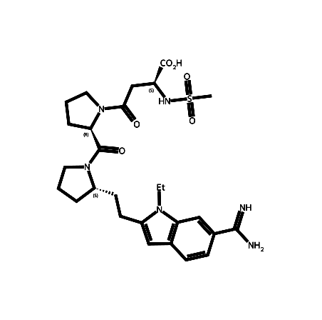 CCn1c(CC[C@@H]2CCCN2C(=O)[C@H]2CCCN2C(=O)C[C@H](NS(C)(=O)=O)C(=O)O)cc2ccc(C(=N)N)cc21